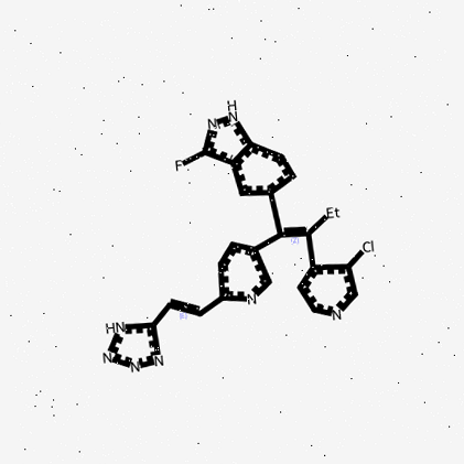 CC/C(=C(/c1ccc(/C=C/c2nnn[nH]2)nc1)c1ccc2[nH]nc(F)c2c1)c1ccncc1Cl